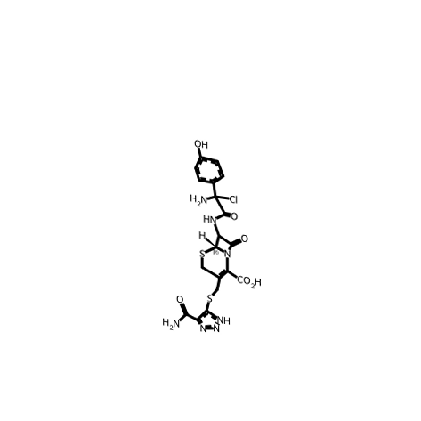 NC(=O)c1nn[nH]c1SCC1=C(C(=O)O)N2C(=O)C(NC(=O)C(N)(Cl)c3ccc(O)cc3)[C@H]2SC1